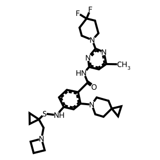 Cc1cc(NC(=O)c2ccc(NSC3(CN4CCC4)CC3)cc2N2CCC3(CC2)CC3)nc(N2CCC(F)(F)CC2)n1